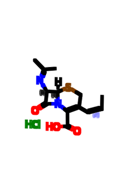 C/C=C\C1=C(C(=O)O)N2C(=O)[C@@H](N=C(C)C)[C@H]2SC1.Cl